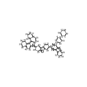 C1=CC(c2ccc(-c3nc(-c4ccc5c6c(oc5c4)=CCC(n4c5ccc7ccccc7c5c5c7ccccc7ccc54)C=6)nc4c3sc3ccccc34)cc2)=CCC1